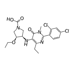 CCO[C@H]1CN(C(=O)O)C[C@H]1Nc1c(CC)nc(-c2ccc(Cl)cc2Cl)n(C)c1=O